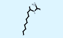 CCCCCCCCC(C)SC(C)N